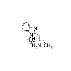 CC[C@@](C)(N)Cc1nc2ccccc2n1C